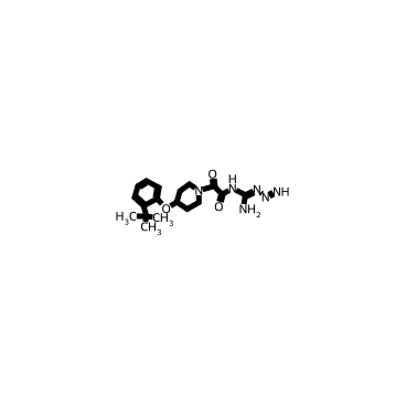 CC(C)(C)c1ccccc1OC1CCN(C(=O)C(=O)N/C(N)=N/N=N)CC1